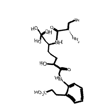 CC(C)C[C@H](N)C(=O)NC(CCC(O)C(=O)Nc1ccccc1CCC(=O)O)C(O)(O)O